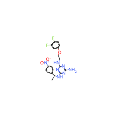 C[C@H](Nc1nc(N)nc(NCCOc2ccc(F)c(F)c2)n1)c1ccc([N+](=O)[O-])cc1